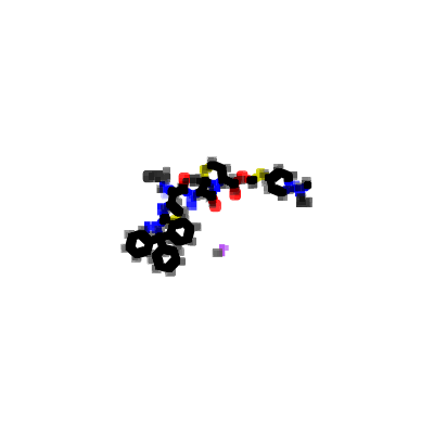 CO/N=C(\C(=O)NC1C(=O)N2C(C(=O)OCSc3cc[n+](N(C)C(C)=O)cc3)=CCS[C@@H]12)c1csc(NC(c2ccccc2)(c2ccccc2)c2ccccc2)n1.[I-]